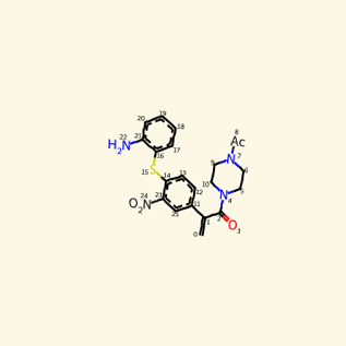 C=C(C(=O)N1CCN(C(C)=O)CC1)c1ccc(Sc2ccccc2N)c([N+](=O)[O-])c1